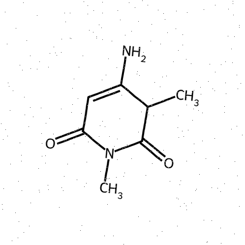 CC1C(=O)N(C)C(=O)C=C1N